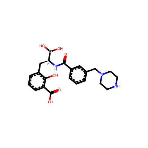 O=C(N[C@@H](Cc1cccc(C(=O)O)c1O)B(O)O)c1cccc(CN2CCNCC2)c1